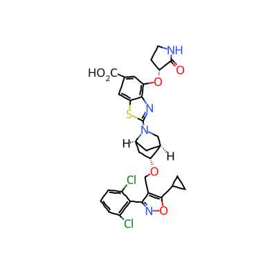 O=C(O)c1cc(O[C@@H]2CCNC2=O)c2nc(N3C[C@@H]4C[C@H]3C[C@H]4OCc3c(-c4c(Cl)cccc4Cl)noc3C3CC3)sc2c1